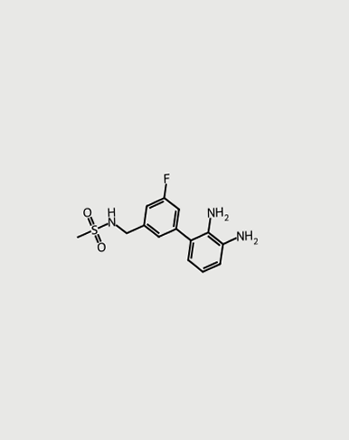 CS(=O)(=O)NCc1cc(F)cc(-c2cccc(N)c2N)c1